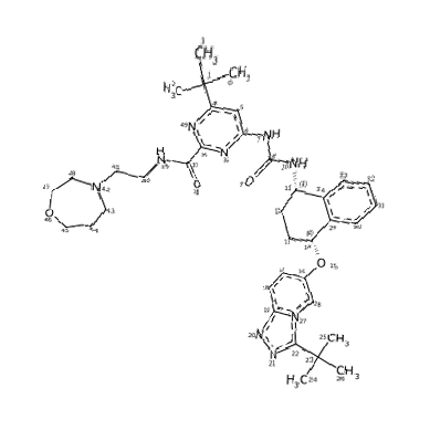 CC(C)(C)c1cc(NC(=O)N[C@H]2CC[C@@H](Oc3ccc4nnc(C(C)(C)C)n4c3)c3ccccc32)nc(C(=O)NCCN2CCCOCC2)n1